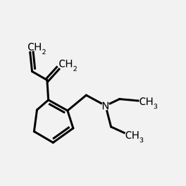 C=CC(=C)C1=C(CN(CC)CC)C=CCC1